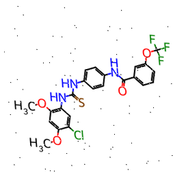 COc1cc(OC)c(NC(=S)Nc2ccc(NC(=O)c3cccc(OC(F)(F)F)c3)cc2)cc1Cl